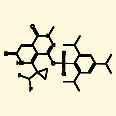 CC(C)c1cc(C(C)C)c(S(=O)(=O)Oc2nn(C)c(=O)c3cc(=O)[nH]c(C4(C(F)F)CC4)c23)c(C(C)C)c1